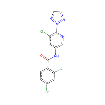 O=C(Nc1cnc(-n2nccn2)c(Cl)c1)c1ccc(Br)cc1Cl